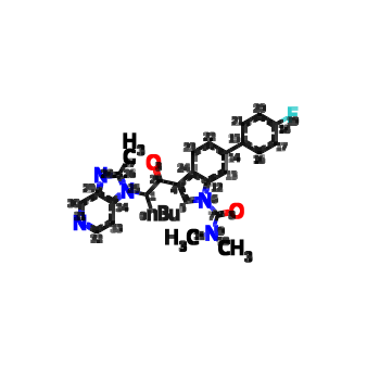 CCCCC(C(=O)c1cn(C(=O)N(C)C)c2cc(-c3ccc(F)cc3)ccc12)n1c(C)nc2cnccc21